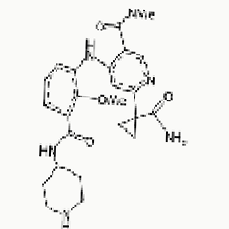 CNC(=O)c1cnc(C2(C(N)=O)CC2)cc1Nc1cccc(C(=O)NC2CCNCC2)c1OC